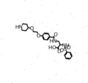 O=C(NCC(NS(=O)(=O)c1ccccc1)C(=O)O)c1ccc(OCCOC2CCNCC2)cc1